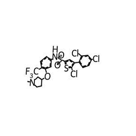 CN1CCC(Oc2cc(NS(=O)(=O)c3cc(-c4ccc(Cl)cc4Cl)c(Cl)s3)ccc2C(F)(F)F)C1